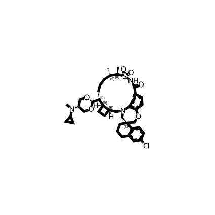 C[C@@H]1[C@@H](C)CCC[C@@H]([C@H]2OC[C@@H](N(C)C3CC3)CO2)[C@@H]2CC[C@H]2CN2C[C@@]3(CCCc4cc(Cl)ccc43)COc3ccc(cc32)C(=O)NS1(=O)=O